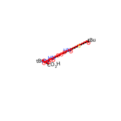 CC(C)(C)OC(=O)C(CCC(=O)O)NC(=O)COCC(=O)NCCCOCCOCCOCCCNC(=O)CCCCCCCSCCCCCCCC(=O)C(C)(C)C